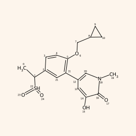 CC(c1ccc(OCC2CC2)c(-c2cc(O)c(=O)n(C)c2)c1)[SH](=O)=O